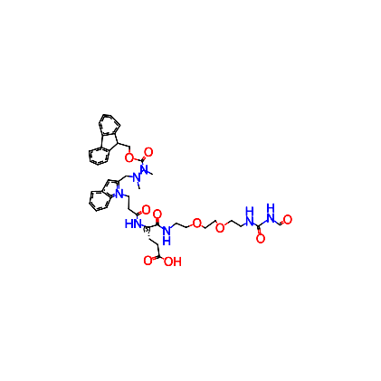 CN(Cc1cc2ccccc2n1CCC(=O)N[C@@H](CCC(=O)O)C(=O)NCCOCCOCCNC(=O)NC=O)N(C)C(=O)OCC1c2ccccc2-c2ccccc21